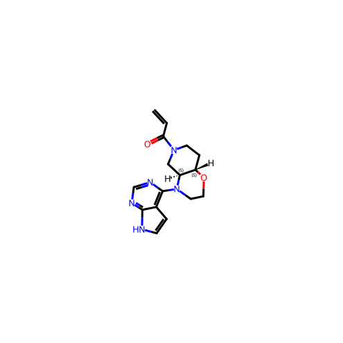 C=CC(=O)N1CC[C@@H]2OCCN(c3ncnc4[nH]ccc34)[C@H]2C1